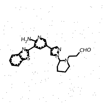 Nc1ncc(-c2cnn(C3CCCCN3CCC=O)c2)cc1-c1nc2ccccc2s1